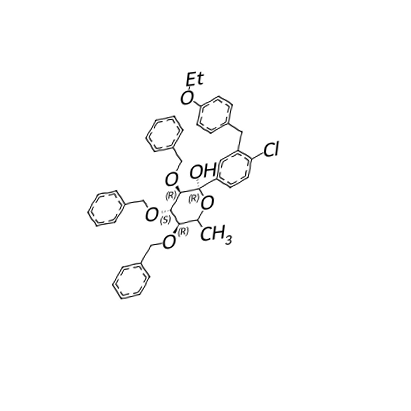 CCOc1ccc(Cc2cc([C@@]3(O)OC(C)[C@@H](OCc4ccccc4)[C@H](OCc4ccccc4)[C@H]3OCc3ccccc3)ccc2Cl)cc1